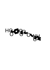 CC(C)(C)CC(=O)NCCOCCOC(=O)Oc1ccc(C(=O)O)cc1